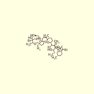 C#CCN[C@@H]1C=C[C@]2(O[C@H](C(CC)C(=O)C(C)C(O)C(C)[C@@H]3O[C@@H](C(CC)C(=O)O)CC[C@@H]3C)[C@@H](C)C[C@H]2C)O[C@@]12CC[C@@](C)([C@H]1CC[C@](O)(CC)[C@H](C)O1)O2